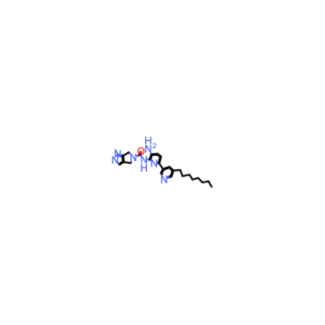 CCCCCCCCc1cncc(-c2ccc(N)c(NC(=O)N3Cc4cnn(C)c4C3)n2)c1